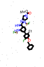 CCc1cc(OCc2ccccc2)c(F)cc1-c1ccc(C(=N)c2nc3c(n2SF)CN(C(=O)OC)C3)c(NSF)c1